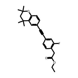 CCOC(=O)Cc1ccc(C#Cc2ccc3c(c2)C(C)(C)CC(C)(C)O3)cc1F